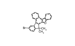 CC1(C)c2ccc(Br)cc2-c2c1c1oc3ccccc3c1c1ccccc21